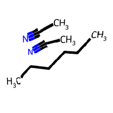 CC#N.CC#N.CCCCCC